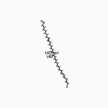 CCCCCCCCCCCCCCCCC(O)NC(O)CCCCCCCCCCCCCCCC